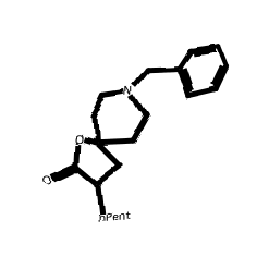 CCCCCC1CC2(CCN(Cc3ccccc3)CC2)OC1=O